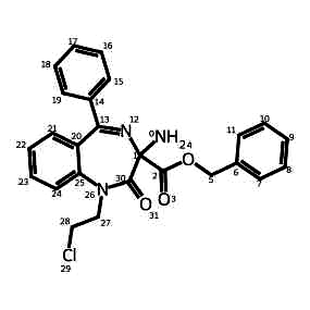 NC1(C(=O)OCc2ccccc2)N=C(c2ccccc2)c2ccccc2N(CCCl)C1=O